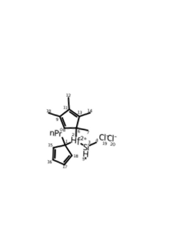 CCC[C]1([Hf+2]([SiH](C)C)[C]2(C)C=C(C)C(C)=C2C)C=CC=C1.[Cl-].[Cl-]